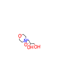 [O-][N+]1(CC(O)CO)CCOCC1